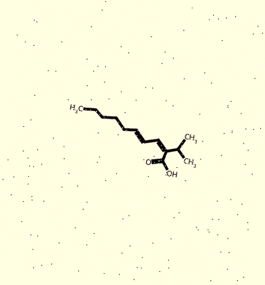 CCCCCC=CC=C(C(=O)O)C(C)C